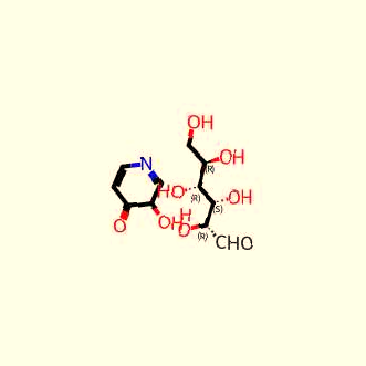 O=C1C=CN=CC1O.O=C[C@H](O)[C@@H](O)[C@H](O)[C@H](O)CO